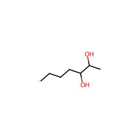 [CH2]CCCC(O)C(C)O